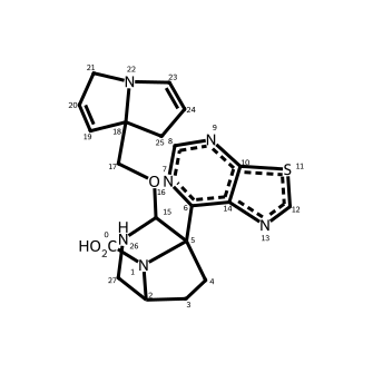 O=C(O)N1C2CCC1(c1ncnc3scnc13)C(OCC13C=CCN1C=CC3)NC2